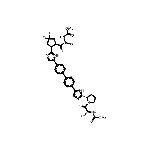 COC(=O)N[C@H](C(=O)N1CCC[C@H]1c1ncc(-c2ccc(-c3ccc(-c4cnc(C5CC(F)(F)CC5C(=O)N(NC(=O)OC)C(C)C)[nH]4)cc3)cc2)[nH]1)C(C)C